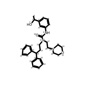 CC(O)c1cccc(NC(=O)N(CCC(c2ccccc2)c2ccccc2)CCN2CCOCC2)c1